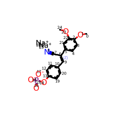 COc1ccc(/C(C#N)=C/c2ccc(OP(=O)([O-])[O-])cc2)cc1OC.[Na+].[Na+]